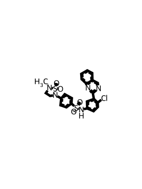 CN1CCN(c2ccc(S(=O)(=O)Nc3ccc(Cl)c(-c4ncc5ccccc5n4)c3)cc2)S1(=O)=O